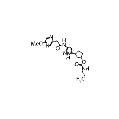 COc1cnc(CC(=O)Nc2cc([C@H]3CC[C@@H](OC(=O)NCCC(F)(F)F)C3)[nH]n2)cn1